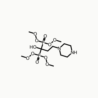 COOP(=O)(OOC)C(O)(CCN1CCNCC1)P(=O)(OOC)OOC